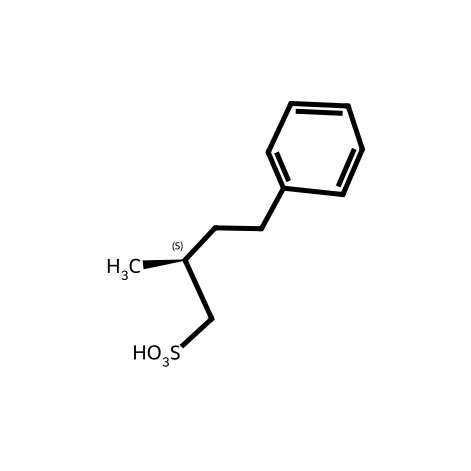 C[C@@H](CCc1ccccc1)CS(=O)(=O)O